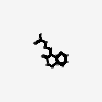 CC(=O)OOC=C1C(=O)SCc2ccccc21